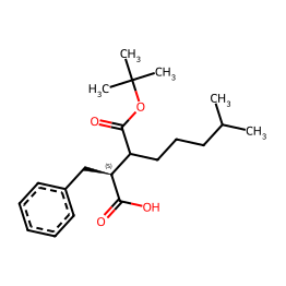 CC(C)CCCC(C(=O)OC(C)(C)C)[C@H](Cc1ccccc1)C(=O)O